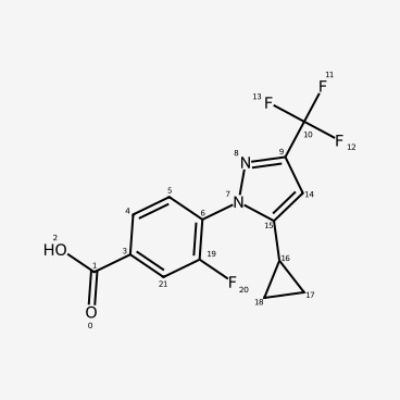 O=C(O)c1ccc(-n2nc(C(F)(F)F)cc2C2CC2)c(F)c1